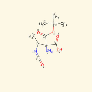 CC(N=C=O)C(N)(C(=O)O)C(=O)OC(C)(C)C